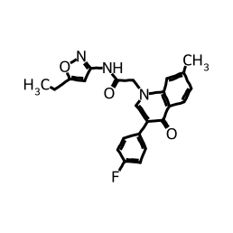 CCc1cc(NC(=O)Cn2cc(-c3ccc(F)cc3)c(=O)c3ccc(C)cc32)no1